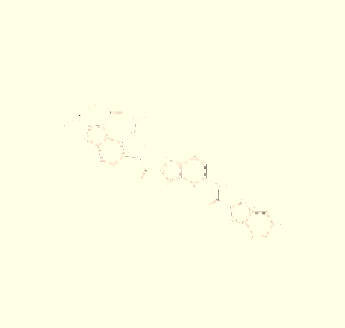 COC(=O)c1c(C(F)(F)F)[nH]c2c(O)cc3c(c12)C(CCl)CN3C(=O)c1cc2cc(NC(=O)c3cc4ccccc4[nH]3)ccc2[nH]1